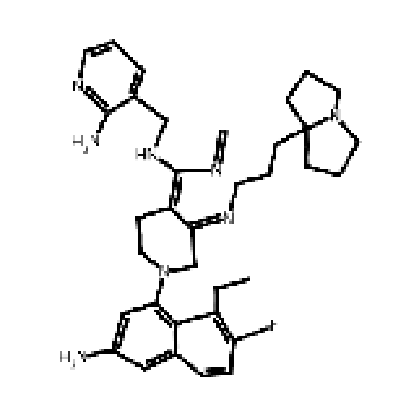 C=N/C(NCc1cccnc1N)=C1/CCN(c2cc(N)cc3ccc(F)c(CC)c23)C/C1=N/CCCC12CCCN1CCC2